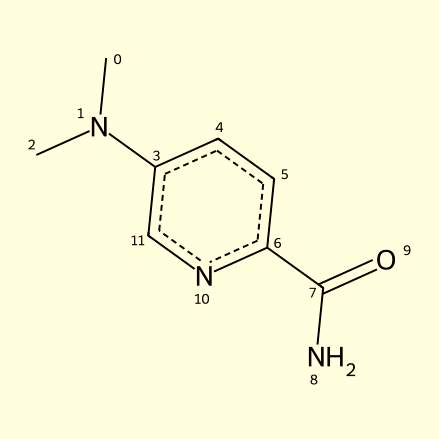 CN(C)c1ccc(C(N)=O)nc1